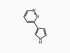 c1cnnc(-c2cc[nH]c2)c1